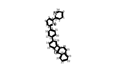 c1ccc(-c2cccc(-c3ccc(-c4ccc5oc6c7ccccc7ccc6c5c4)cc3)n2)nc1